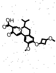 COc1cc2c(cc1OC1CC(OC)C1)CC(C(C)C)n1cc(C(=O)O)c(=O)cc1-2